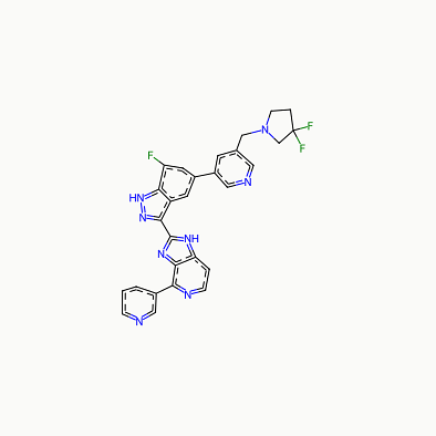 Fc1cc(-c2cncc(CN3CCC(F)(F)C3)c2)cc2c(-c3nc4c(-c5cccnc5)nccc4[nH]3)n[nH]c12